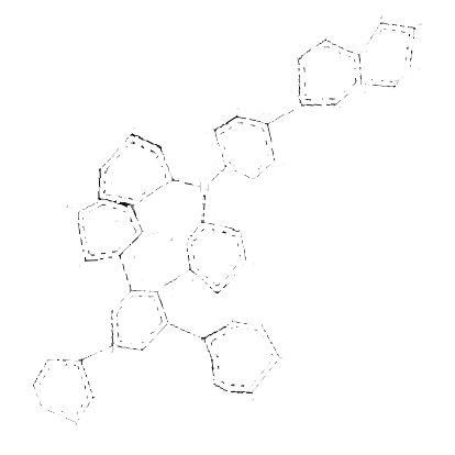 c1ccc(-c2cc(-c3ccccc3)c(-c3cccc(N(c4ccccc4)c4ccc(-c5ccc6ccccc6c5)cc4)c3)c(-c3ccccc3)c2)cc1